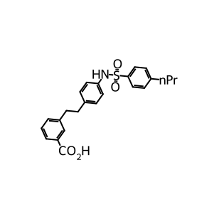 CCCc1ccc(S(=O)(=O)Nc2ccc(CCc3cccc(C(=O)O)c3)cc2)cc1